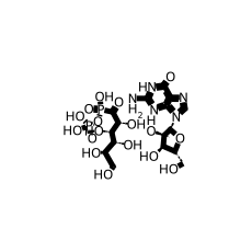 Nc1nc2c(ncn2[C@@H]2O[C@H](CO)[C@@H](O)[C@H]2O)c(=O)[nH]1.O=C([C@H](O)[C@@H](O)[C@H](O)[C@H](O)CO)P(=O)(O)OP(=O)(O)O